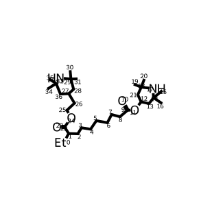 CCC(CCCCCCCC(=O)OC1CC(C)(C)NC(C)(C)C1)C(=O)OCCC1CC(C)(C)NC(C)(C)C1